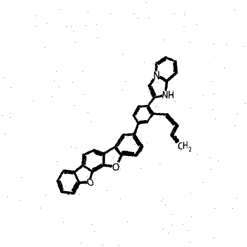 C=C/C=C\c1cc(-c2ccc3oc4c(ccc5c6ccccc6oc54)c3c2)ccc1C1=CN2C=CC=CC2N1